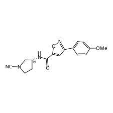 COc1ccc(-c2cc(C(=O)N[C@@H]3CCN(C#N)C3)on2)cc1